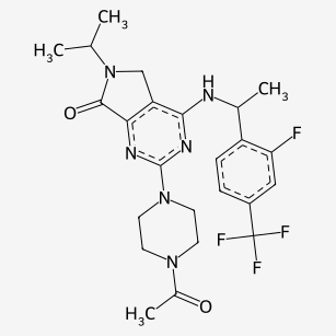 CC(=O)N1CCN(c2nc(NC(C)c3ccc(C(F)(F)F)cc3F)c3c(n2)C(=O)N(C(C)C)C3)CC1